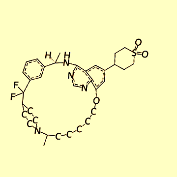 CC1CCCCCOc2cc(C3CCS(=O)(=O)CC3)cc3c(ncnc23)N[C@H](C)c2cccc(c2)C(F)(F)C2CCN1CC2